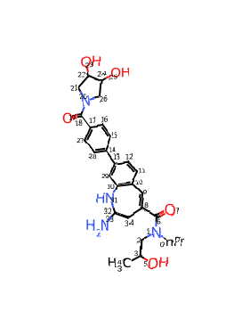 CCCN(CC(C)O)C(=O)C1=Cc2ccc(-c3ccc(C(=O)N4CC(O)C(O)C4)cc3)cc2NC(N)C1